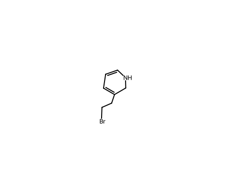 BrCCC1=CC=CNC1